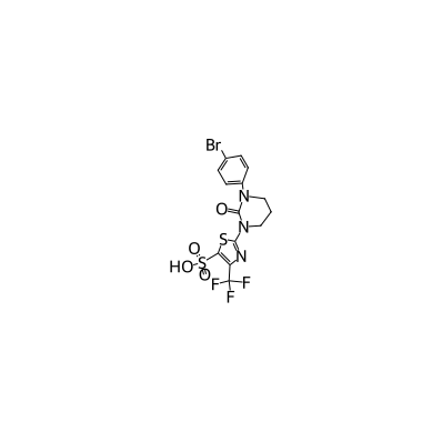 O=C1N(c2ccc(Br)cc2)CCCN1c1nc(C(F)(F)F)c(S(=O)(=O)O)s1